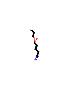 CCCOCC=CCC#N